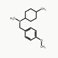 COc1ccc(CN(C)C2CCC(C)CC2)cc1